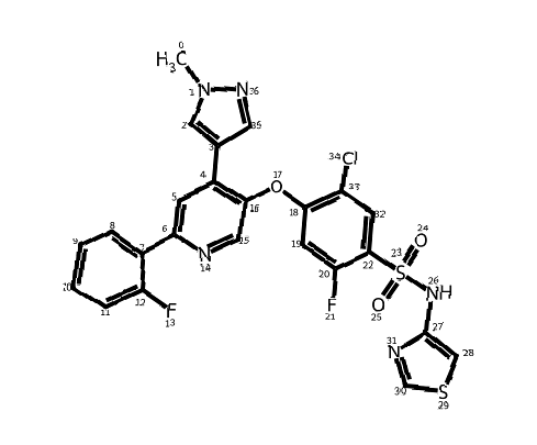 Cn1cc(-c2cc(-c3ccccc3F)ncc2Oc2cc(F)c(S(=O)(=O)Nc3cscn3)cc2Cl)cn1